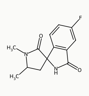 CC1CC2(NC(=O)c3cc(F)ccc32)C(=O)N1C